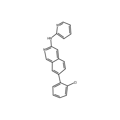 Clc1ccccc1-c1ccc2cc(Nc3ccccn3)ncc2c1